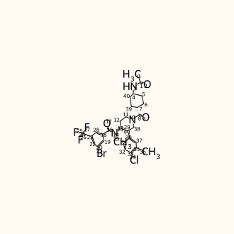 CC(=O)N[C@H]1CC[C@H](C(=O)N2CC[C@@H](N(C)C(=O)c3cc(Br)cc(C(F)(F)F)c3)[C@H](c3ccc(Cl)c(C)c3)C2)CC1